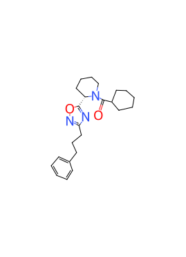 O=C(C1CCCCC1)N1CCCC[C@H]1c1nc(CCCc2ccccc2)no1